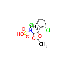 CC1OC(c2c(Cl)cccc2Cl)C(N(C)S(=O)(=O)O)O1